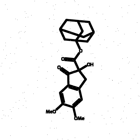 COc1cc2c(cc1OC)C(=O)C(O)(C(=O)OC13CC4CC(CC(C4)C1)C3)C2